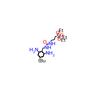 CCO[Si](CCCNC(=O)NCc1c(N)cc(C(C)(C)C)cc1N)(OCC)OCC